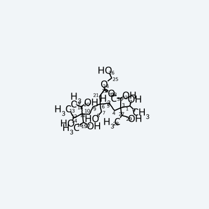 CC(O)C(CCC(CO)(CCC(C(C)O)(C(C)O)C(C)O)CC(=O)OCO)(C(C)O)C(C)O